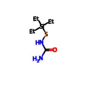 CC[Si](CC)(CC)SNC(N)=O